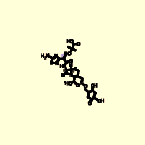 CC(C)(O/N=C(\C(=O)N[C@@H]1C(=O)N2C(C(=O)O)=C(C=NOCc3cc(=O)c(O)cn3O)CS[C@H]12)c1nsc(N)n1)C(=O)O